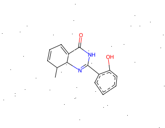 CC1C=CC=C2C(=O)NC(c3ccccc3O)=NC21